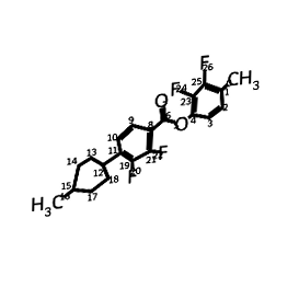 Cc1ccc(OC(=O)c2ccc(C3CCC(C)CC3)c(F)c2F)c(F)c1F